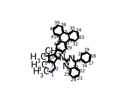 C/C=C\C1=C(C)C(C)(C)c2c1n(-c1nc(-c3ccccc3)c3ccccc3n1)c1cc3c4ccccc4c4ccccc4c3cc21